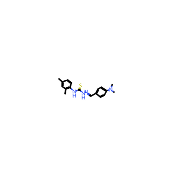 Cc1ccc(NC(=S)N/N=C/c2ccc(N(C)C)cc2)c(C)c1